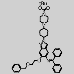 CC(C)(C)OC(=O)N1CCN(C2CCC(n3cc4cc(N=C(c5ccccc5)c5ccccc5)c(OCCOCc5ccccc5)cc4n3)CC2)CC1